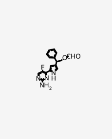 Nc1ncc(F)c(-c2cc(C(COC=O)c3ccccc3)c[nH]2)n1